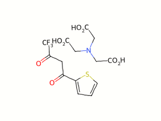 O=C(CC(=O)C(F)(F)F)c1cccs1.O=C(O)CN(CC(=O)O)CC(=O)O